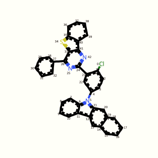 Clc1ccc(-n2c3ccccc3c3cc4ccccc4cc32)cc1-c1nc(-c2ccccc2)c2sc3ccccc3c2n1